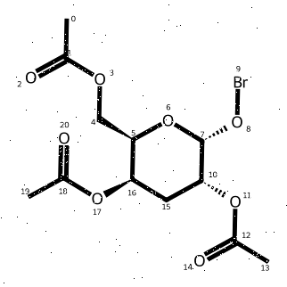 CC(=O)OC[C@H]1O[C@H](OBr)[C@H](OC(C)=O)C[C@H]1OC(C)=O